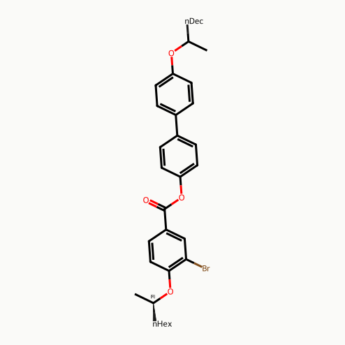 CCCCCCCCCCC(C)Oc1ccc(-c2ccc(OC(=O)c3ccc(O[C@H](C)CCCCCC)c(Br)c3)cc2)cc1